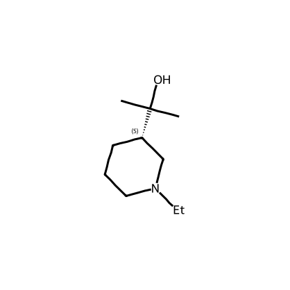 CCN1CCC[C@H](C(C)(C)O)C1